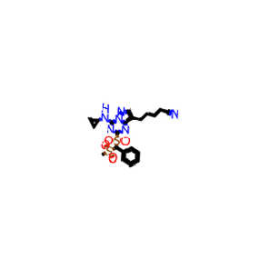 CS(=O)(=O)C(c1ccccc1)S(=O)(=O)c1nc(NC2CC2)n2ncc(CCCCC#N)c2n1